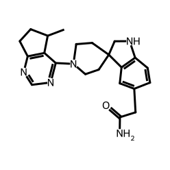 CC1CCc2ncnc(N3CCC4(CC3)CNc3ccc(CC(N)=O)cc34)c21